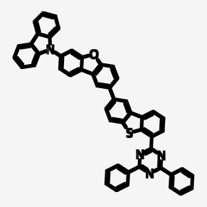 c1ccc(-c2nc(-c3ccccc3)nc(-c3cccc4c3sc3ccc(-c5ccc6oc7cc(-n8c9ccccc9c9ccccc98)ccc7c6c5)cc34)n2)cc1